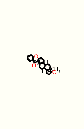 C[C@]12CCC(=O)C(C(=O)c3ccccc3)C1CC[C@@H]1[C@H]2CC[C@]2(C)C(=O)CC[C@@H]12